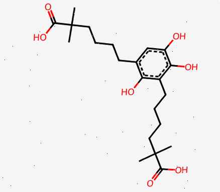 CC(C)(CCCCc1cc(O)c(O)c(CCCCC(C)(C)C(=O)O)c1O)C(=O)O